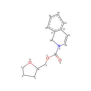 O=C(OCC1CCCO1)N1C=Cc2ccccc2C1